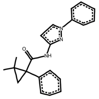 CC1(C)CC1(C(=O)Nc1ccn(-c2ccccc2)n1)c1ccccc1